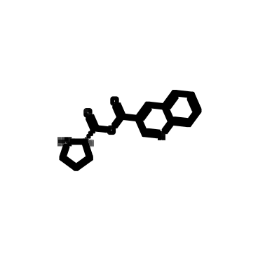 O=C(OC(=O)[C@@H]1CCCN1)c1cnc2ccccc2c1